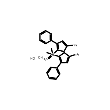 CCCC1=CC(c2ccccc2)=[C]([Hf]([CH3])([CH3])(=[SiH2])[C]2=C(c3ccccc3)C=C(CCC)C2)C1.Cl.Cl